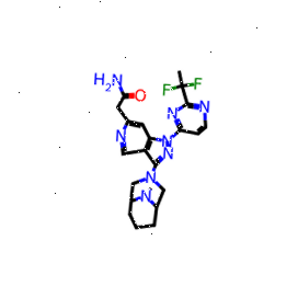 CN1C2CCCC1CN(c1nn(-c3ccnc(C(C)(F)F)n3)c3cc(CC(N)=O)ncc13)C2